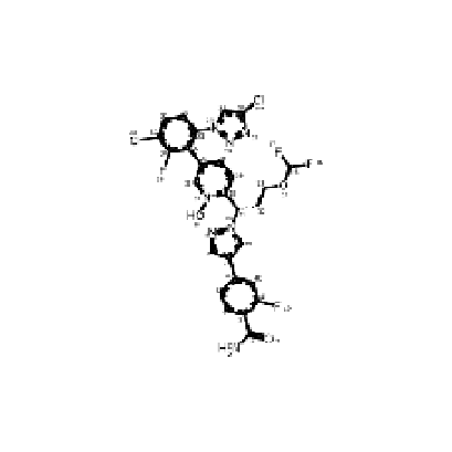 NC(=O)c1ccc(-c2cnn([C@@H](CCOC(F)F)c3ccc(-c4c(-n5cc(Cl)nn5)ccc(Cl)c4F)c[n+]3O)c2)cc1F